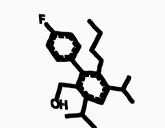 CCCCc1c(C(C)C)cc(C(C)C)c(CO)c1-c1ccc(F)cc1